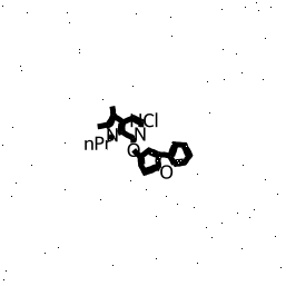 CCCn1c(C)c(C)c2ccnc(Oc3ccc4oc5ccccc5c4c3)c21.Cl